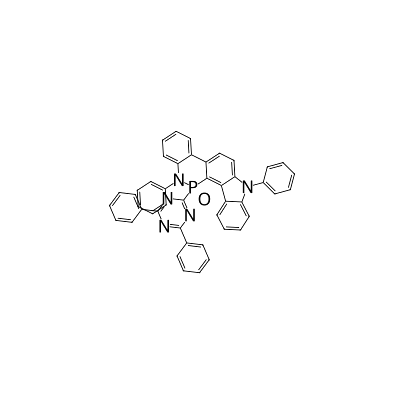 O=P1(c2nc(-c3ccccc3)nc(-c3ccccc3)n2)c2c(ccc3c2c2ccccc2n3-c2ccccc2)-c2ccccc2N1c1ccccc1